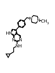 CN1CCN(Cc2ccc(-c3c[nH]c4nc(NCCC5CC5)ncc34)cc2)CC1